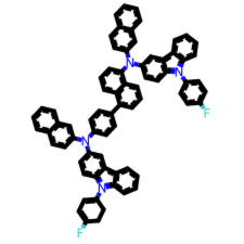 FC1=CC=C(n2c3ccccc3c3cc(N(c4ccc(-c5cccc6c(N(c7ccc8ccccc8c7)c7ccc8c(c7)c7ccccc7n8-c7ccc(F)cc7)cccc56)cc4)c4ccc5ccccc5c4)ccc32)CC1